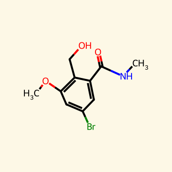 CNC(=O)c1cc(Br)cc(OC)c1CO